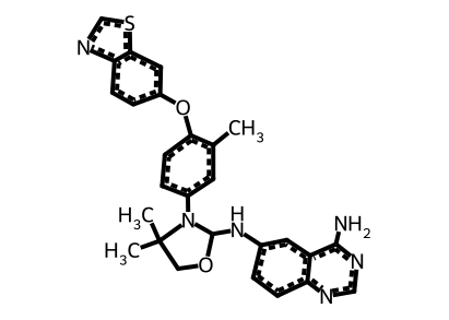 Cc1cc(N2C(Nc3ccc4ncnc(N)c4c3)OCC2(C)C)ccc1Oc1ccc2ncsc2c1